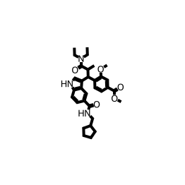 CCN(CC)C(=O)C(C)C(c1ccc(C(=O)OC)cc1OC)c1c[nH]c2ccc(C(=O)NCC3CCCC3)cc12